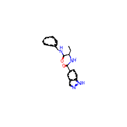 CCC(NC(=O)c1ccc2[nH]ncc2c1)C(=O)NCc1ccccc1